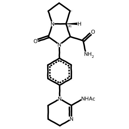 CC(=O)NC1=NCCCN1c1ccc(N2C(=O)N3CC[CH][C@@H]3C2C(N)=O)cc1